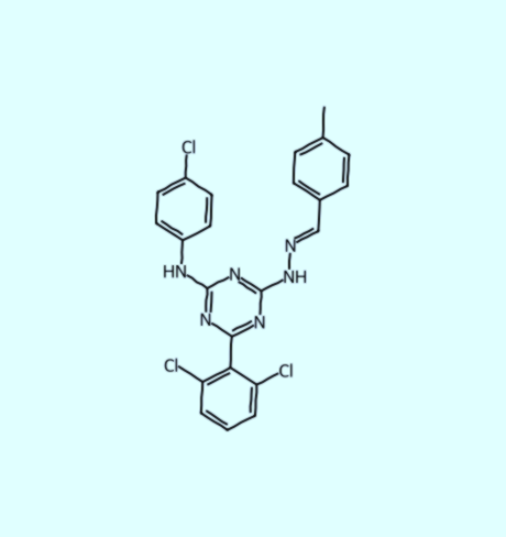 Cc1ccc(C=NNc2nc(Nc3ccc(Cl)cc3)nc(-c3c(Cl)cccc3Cl)n2)cc1